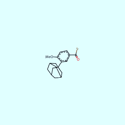 COc1ccc(C(=O)[S])cc1C12CC3CC(CC(C3)C1)C2